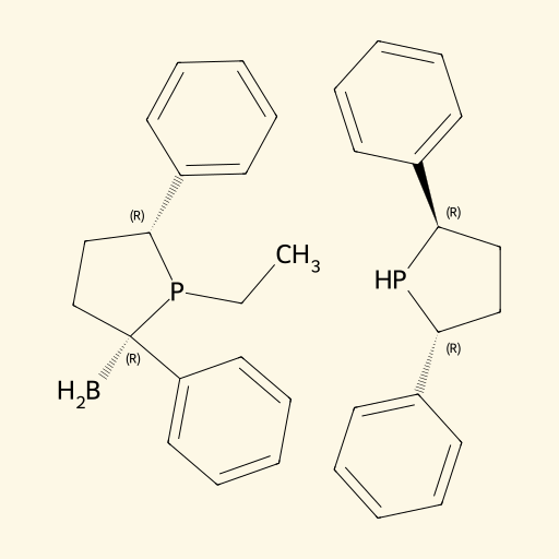 B[C@]1(c2ccccc2)CC[C@H](c2ccccc2)P1CC.c1ccc([C@H]2CC[C@H](c3ccccc3)P2)cc1